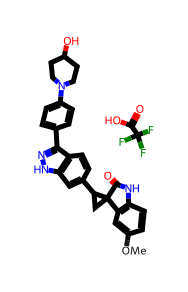 COc1ccc2c(c1)C1(CC1c1ccc3c(-c4ccc(N5CCC(O)CC5)cc4)n[nH]c3c1)C(=O)N2.O=C(O)C(F)(F)F